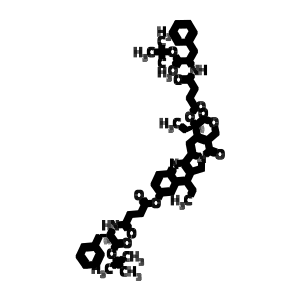 CCc1c2c(nc3ccc(OC(=O)CCC(=O)N[C@@H](Cc4ccccc4)C(=O)OC(C)(C)C)cc13)-c1cc3c(c(=O)n1C2)COC(=O)[C@@]3(CC)OC(=O)CCC(=O)NC(Cc1ccccc1)C(=O)OC(C)(C)C